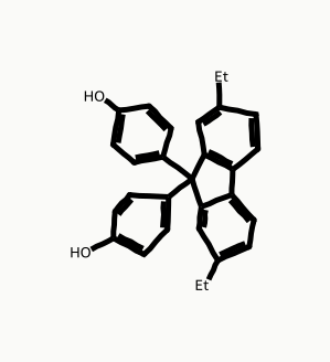 CCc1ccc2c(c1)C(c1ccc(O)cc1)(c1ccc(O)cc1)c1cc(CC)ccc1-2